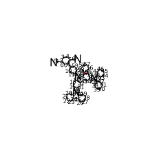 N#Cc1ccc(C#N)c(-c2ccc(-n3c4ccc(-n5c6ccccc6c6ccccc65)cc4c4cc(-n5c6ccccc6c6ccccc65)ccc43)c(-c3ccccc3)c2)c1